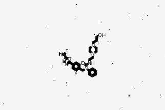 O=C(NCCN1CCN(CCCO)CC1)N(Cc1ccc(-c2nnc(C(F)F)o2)cc1F)c1ccccc1